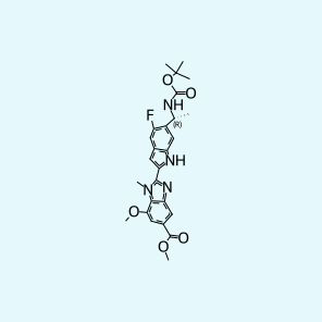 COC(=O)c1cc(OC)c2c(c1)nc(-c1cc3cc(F)c([C@@H](C)NC(=O)OC(C)(C)C)cc3[nH]1)n2C